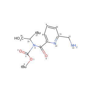 CC(C)(C)OC(=O)N(C(=O)c1cccc(CN)n1)C(C(=O)O)C(C)(C)C